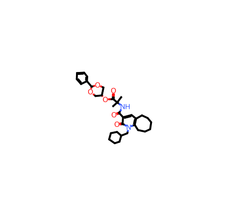 CC(C)(NC(=O)c1cc2c(n(CC3CCCCC3)c1=O)CCCCCC2)C(=O)OC1COC(c2ccccc2)OC1